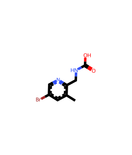 Cc1cc(Br)cnc1CNC(=O)O